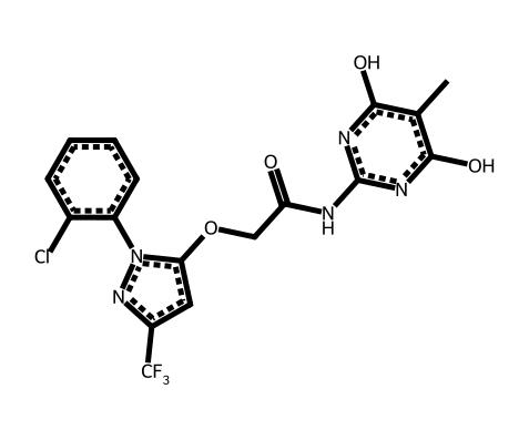 Cc1c(O)nc(NC(=O)COc2cc(C(F)(F)F)nn2-c2ccccc2Cl)nc1O